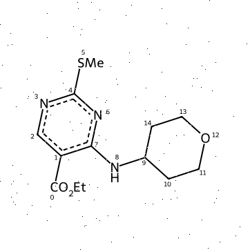 CCOC(=O)c1cnc(SC)nc1NC1CCOCC1